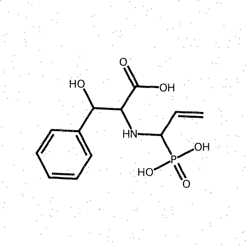 C=CC(NC(C(=O)O)C(O)c1ccccc1)P(=O)(O)O